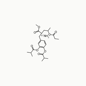 CCC(=O)OC(C)C[C@@](N)(Cc1ccc(OC(=O)C(C)C)c(OC(=O)C(C)C)c1)C(=O)OC